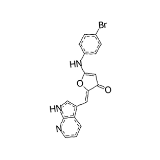 O=C1C=C(Nc2ccc(Br)cc2)OC1=Cc1c[nH]c2ncccc12